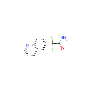 NC(=O)C(F)(F)c1ccc2ncccc2c1